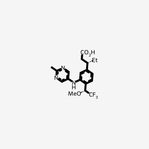 CC[C@@H](CC(=O)O)c1ccc([C@@H](OC)C(F)(F)F)c(Nc2cnc(C)nc2)c1